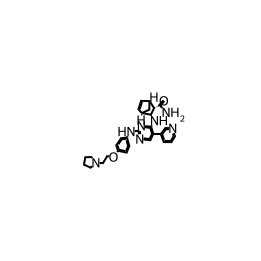 NC(=O)[C@@H]1[C@H](Nc2nc(Nc3ccc(OCCN4CCCC4)cc3)ncc2-c2cccnc2)[C@H]2C=C[C@@H]1C2